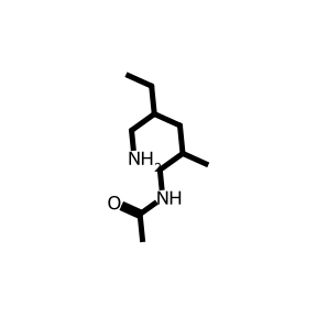 CCC(CN)CC(C)CNC(C)=O